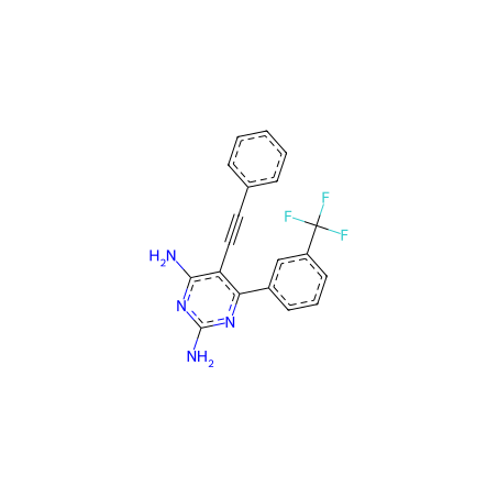 Nc1nc(N)c(C#Cc2ccccc2)c(-c2cccc(C(F)(F)F)c2)n1